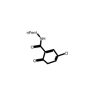 CCCCCNC(=O)C1=CC(Cl)=CCC1=O